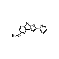 CCOc1ccc2nc3sc(-c4ccccn4)cn3c2c1